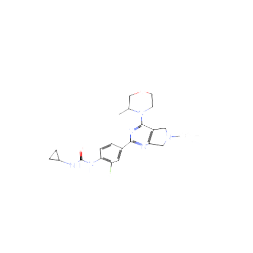 CC1COCCN1c1nc(-c2ccc(NC(=O)NC3CC3)c(F)c2)nc2c1CN(C(=O)O)C2